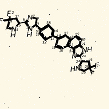 FC1(F)CN[C@H](C2=NCC(c3ccc(-c4ccc5c(ccc6[nH]c([C@@H]7CC(F)(F)CN7)nc65)c4)cc3)N2)C1